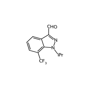 CC(C)n1nc(C=O)c2cccc(C(F)(F)F)c21